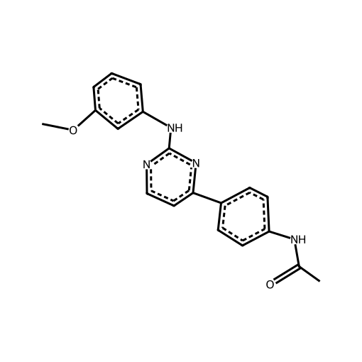 COc1cccc(Nc2nccc(-c3ccc(NC(C)=O)cc3)n2)c1